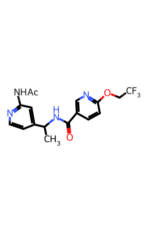 CC(=O)Nc1cc(C(C)NC(=O)c2ccc(OCC(F)(F)F)nc2)ccn1